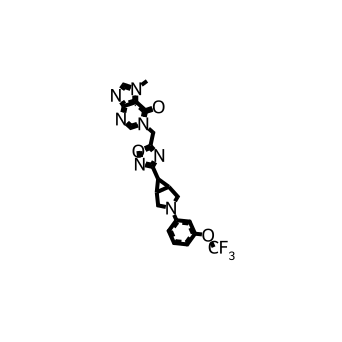 Cn1cnc2ncn(Cc3nc(C4C5CN(c6cccc(OC(F)(F)F)c6)CC54)no3)c(=O)c21